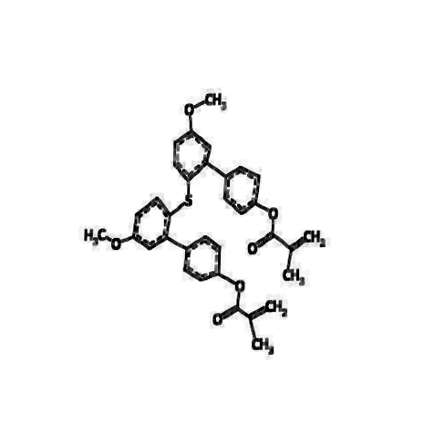 C=C(C)C(=O)Oc1ccc(-c2cc(OC)ccc2Sc2ccc(OC)cc2-c2ccc(OC(=O)C(=C)C)cc2)cc1